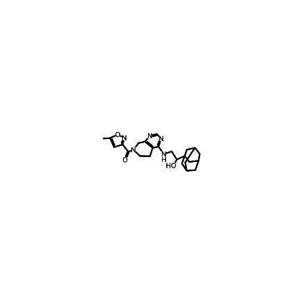 Cc1cc(C(=O)N2CCc3c(ncnc3NCC(O)C34CC5CC(CC(C5)C3)C4)C2)no1